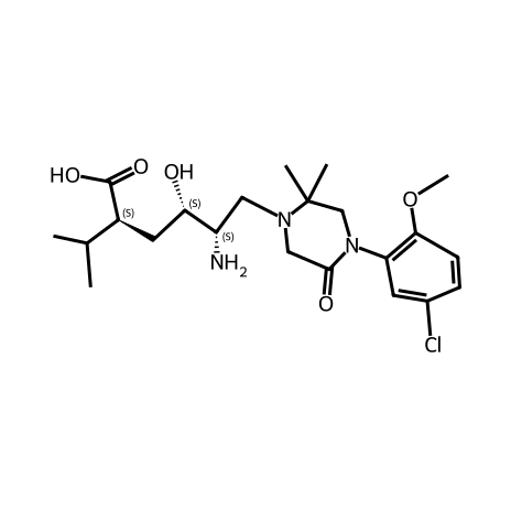 COc1ccc(Cl)cc1N1CC(C)(C)N(C[C@H](N)[C@@H](O)C[C@H](C(=O)O)C(C)C)CC1=O